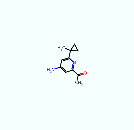 CC(=O)c1cc(N)cc(C2(C)CC2)n1